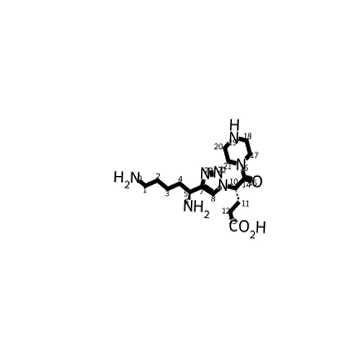 NCCCC[C@H](N)c1cn([C@@H](CCC(=O)O)C(=O)N2CCNCC2)nn1